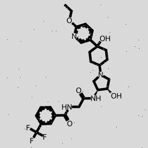 CCOc1ccc(C2(O)CCC(N3C[C@@H](O)[C@@H](NC(=O)CNC(=O)c4cccc(C(F)(F)F)c4)C3)CC2)cn1